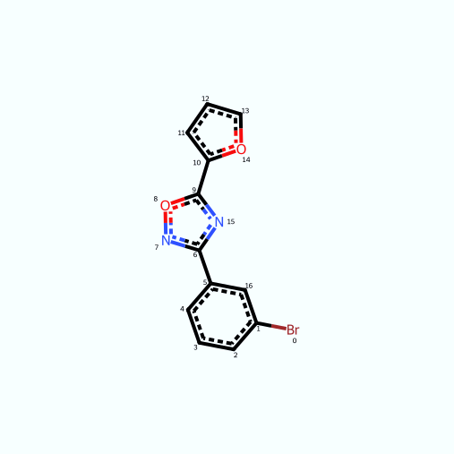 Brc1cccc(-c2noc(-c3ccco3)n2)c1